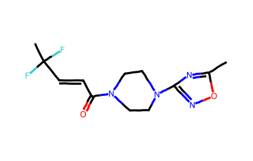 Cc1nc(N2CCN(C(=O)/C=C/C(C)(F)F)CC2)no1